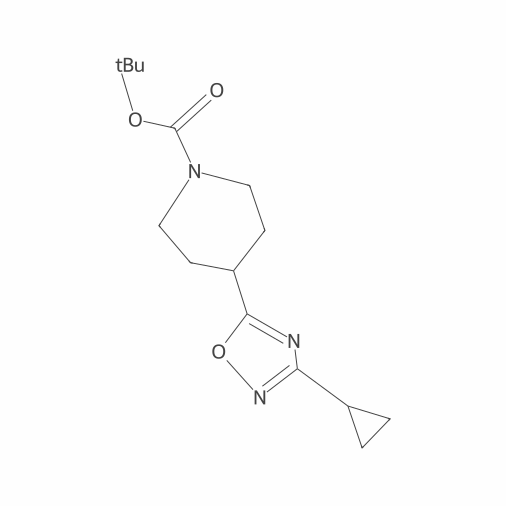 CC(C)(C)OC(=O)N1CCC(c2nc(C3CC3)no2)CC1